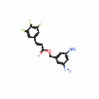 Nc1cc(N)cc(COC(=O)/C=C/c2cc(F)c(F)c(F)c2)c1